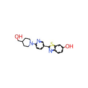 OCC1CCN(c2ccc(-c3nc4ccc(O)cc4s3)cn2)CC1